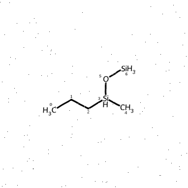 CCC[SiH](C)O[SiH3]